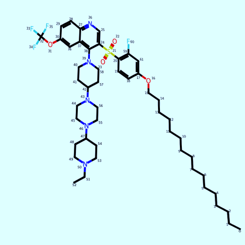 CCCCCCCCCCCCCCCCOc1ccc(S(=O)(=O)c2cnc3ccc(OC(F)(F)F)cc3c2N2CCC(N3CCN(C4CCN(CC)CC4)CC3)CC2)c(F)c1